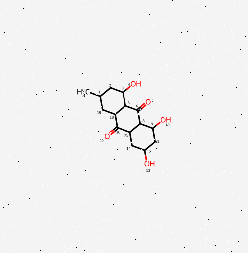 CC1CC(O)C2C(=O)C3C(O)CC(O)CC3C(=O)C2C1